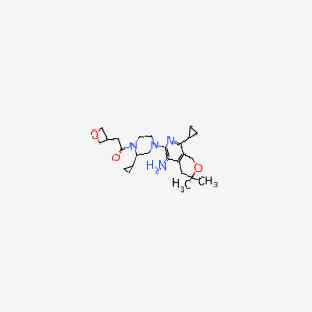 CC1(C)Cc2c(N)c(N3CCN(C(=O)CC4COC4)[C@H](C4CC4)C3)nc(C3CC3)c2CO1